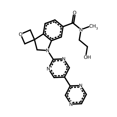 CN(CCO)C(=O)c1ccc2c(c1)N(c1ncc(-c3cnccn3)cn1)CC21COC1